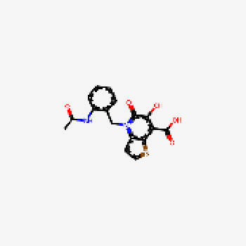 CC(=O)Nc1ccccc1Cn1c(=O)c(O)c(C(=O)O)c2sccc21